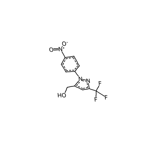 O=[N+]([O-])c1ccc(-n2nc(C(F)(F)F)cc2CO)cc1